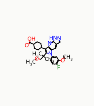 COCC(C)(C)c1c(C2CCC(C(=O)O)CC2)c2nc3[nH]ncc3cc2n1-c1ccc(F)c(OC)c1